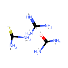 N=C(N)N.NC(N)=O.NC(N)=S